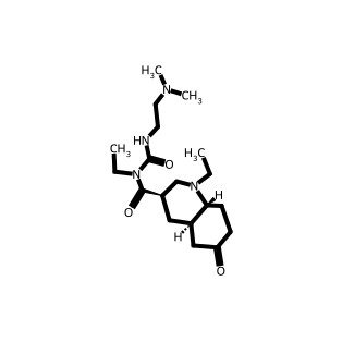 CCN(C(=O)NCCN(C)C)C(=O)[C@@H]1C[C@@H]2CC(=O)CC[C@H]2N(CC)C1